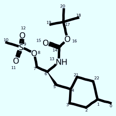 CC1CCC(C[C@@H](COS(C)(=O)=O)NC(=O)OC(C)(C)C)CC1